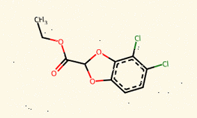 CCOC(=O)C1Oc2ccc(Cl)c(Cl)c2O1